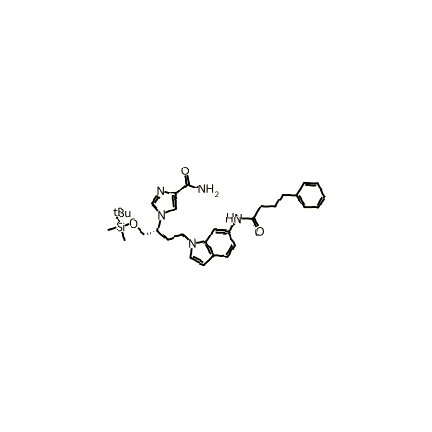 CC(C)(C)[Si](C)(C)OC[C@@H](CCn1ccc2ccc(NC(=O)CCCc3ccccc3)cc21)n1cnc(C(N)=O)c1